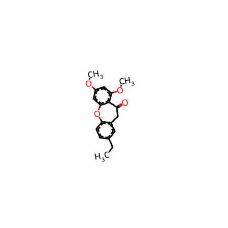 CCc1ccc2c(c1)CC(=O)c1c(OC)cc(OC)cc1O2